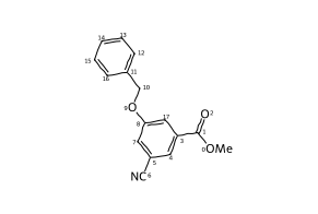 COC(=O)c1cc(C#N)cc(OCc2ccccc2)c1